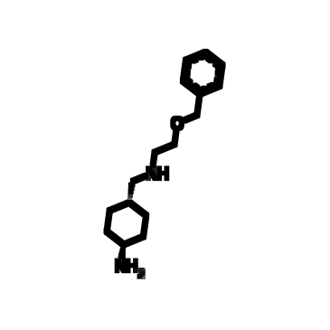 N[C@H]1CC[C@H](CNCCOCc2ccccc2)CC1